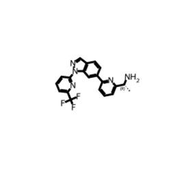 C[C@@H](N)c1cccc(-c2ccc3cnn(-c4cccc(C(F)(F)F)n4)c3c2)n1